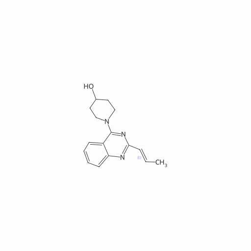 C/C=C/c1nc(N2CCC(O)CC2)c2ccccc2n1